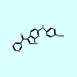 COc1ccc(Nc2ccc3c(C(=O)c4cccnc4)c[nH]c3n2)cc1